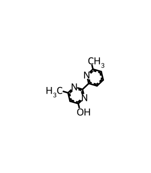 Cc1cccc(-c2nc(C)cc(O)n2)n1